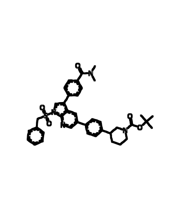 CN(C)C(=O)c1ccc(-c2cn(S(=O)(=O)Cc3ccccc3)c3ncc(-c4ccc(C5CCCN(C(=O)OC(C)(C)C)C5)cc4)cc23)cc1